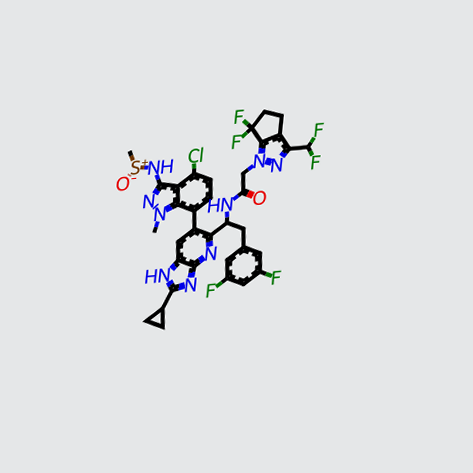 Cn1nc(N[S+](C)[O-])c2c(Cl)ccc(-c3cc4[nH]c(C5CC5)nc4nc3C(Cc3cc(F)cc(F)c3)NC(=O)Cn3nc(C(F)F)c4c3C(F)(F)CC4)c21